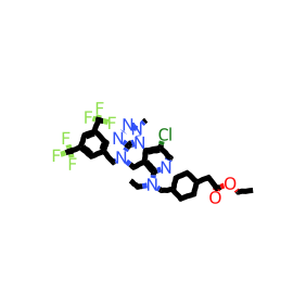 CCOC(=O)CC1CCC(CN(CC)c2ncc(Cl)cc2CN(Cc2cc(C(F)(F)F)cc(C(F)(F)F)c2)c2nnn(C)n2)CC1